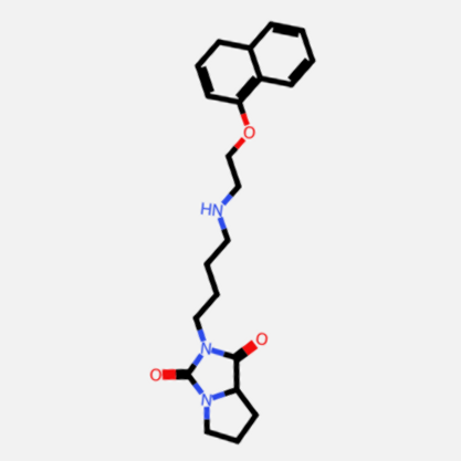 O=C1C2CCCN2C(=O)N1CCCCNCCOC1=C2C=CC=CC2CC=C1